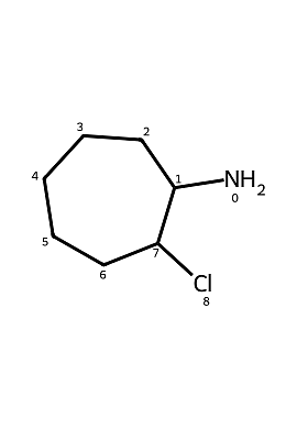 NC1CCCCCC1Cl